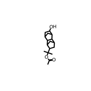 CC(=O)OC(C)(C)C1CC2CC1C1C3CC(O)C(C3)C21